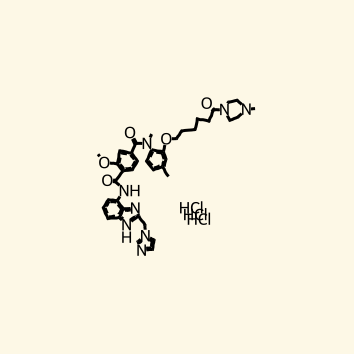 COc1cc(C(=O)N(C)c2ccc(C)cc2OCCCCCC(=O)N2CCN(C)CC2)ccc1C(=O)Nc1cccc2[nH]c(Cn3ccnc3)nc12.Cl.Cl.Cl